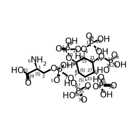 N[C@@H](COP(=O)(O)O[C@@H]1[C@@H](OP(=O)(O)O)[C@H](OP(=O)(O)O)[C@@H](OP(=O)(O)O)[C@H](OP(=O)(O)O)[C@@H]1OP(=O)(O)O)C(=O)O